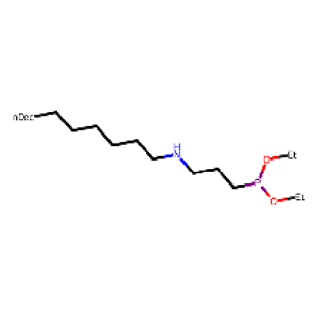 CCCCCCCCCCCCCCCCNCCCP(OCC)OCC